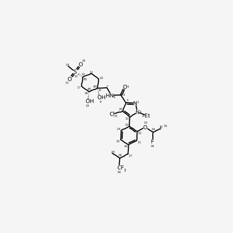 CCn1nc(C(=O)NC[C@]2(O)CC[C@@H](S(C)(=O)=O)C[C@H]2O)c(Cl)c1-c1ccc(CC(C)C(F)(F)F)cc1OC(F)F